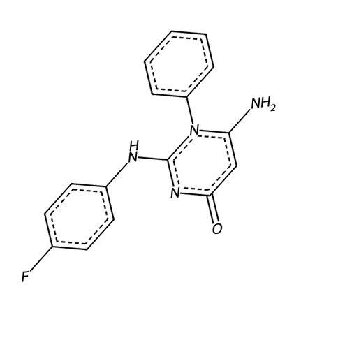 Nc1cc(=O)nc(Nc2ccc(F)cc2)n1-c1ccccc1